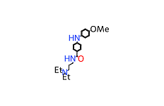 CCN(CC)CCCNC(=O)c1ccc(Nc2ccc(OC)cc2)cc1